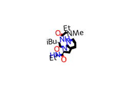 CCNC(=O)[C@@H]1Cc2cccnc2N1C(=O)[C@@H](NC(=O)[C@H](CC)NC)[C@@H](C)CC